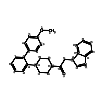 COc1ncc(-c2ccccc2N2CCN(C(=O)Cn3cnc4cccnc43)CC2)cn1